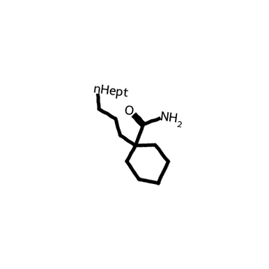 CCCCCCCCCCC1(C(N)=O)CCCCC1